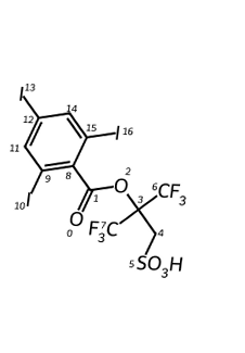 O=C(OC(CS(=O)(=O)O)(C(F)(F)F)C(F)(F)F)c1c(I)cc(I)cc1I